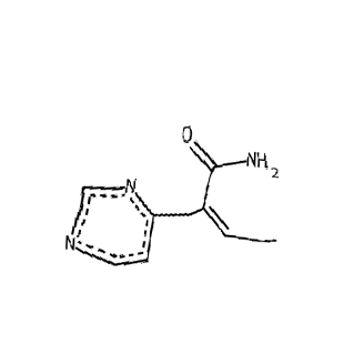 CC=C(C(N)=O)c1ccncn1